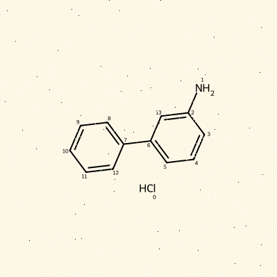 Cl.Nc1cccc(-c2ccccc2)c1